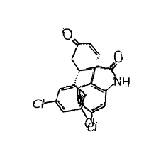 O=C1C=C[C@@]2(C(=O)Nc3cc(Cl)ccc32)[C@H](c2cc(Cl)cc(Cl)c2)C1